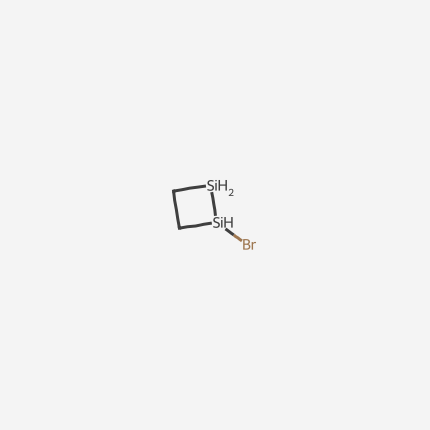 Br[SiH]1CC[SiH2]1